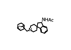 CC(=O)N[C@H]1CC2(CCN(CC3CC4CCC3CC4)CC2)c2ccccc21